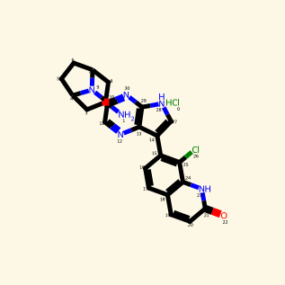 Cl.NC1CC2CCC(C1)N2c1cnc2c(-c3ccc4ccc(=O)[nH]c4c3Cl)c[nH]c2n1